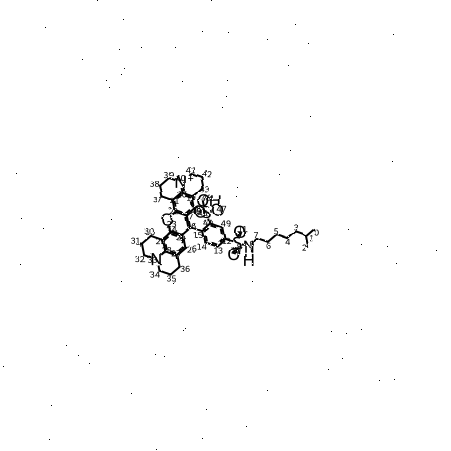 CC(C)CCCCCNS(=O)(=O)c1ccc(C2=c3cc4c5c(c3Oc3c2cc2c6c3CCCN6CCC2)CCC[N+]=5CCC4)c(S(=O)(=O)O)c1